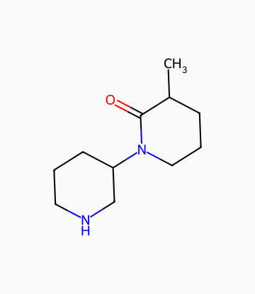 CC1CCCN(C2CCCNC2)C1=O